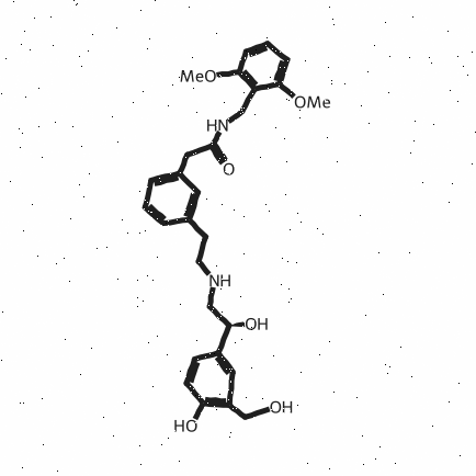 COc1cccc(OC)c1CNC(=O)Cc1cccc(CCNC[C@@H](O)c2ccc(O)c(CO)c2)c1